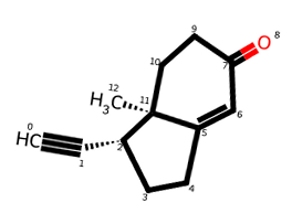 C#C[C@H]1CCC2=CC(=O)CC[C@@]21C